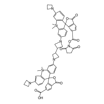 C[Si]1(C)c2cc(N3CCC3)ccc2C2(OC(=O)c3ccc(C(=O)O)cc32)c2ccc(N3CC(C4CN(c5ccc6c(c5)[Si](C)(C)c5cc(N7CCC7)ccc5C65OC(=O)c6ccc(C(=O)ON7C(=O)CCC7=O)cc65)C4)C3)cc21